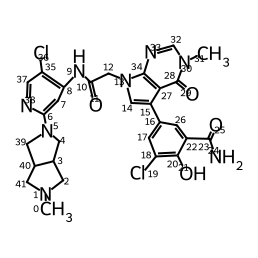 CN1CC2CN(c3cc(NC(=O)Cn4cc(-c5cc(Cl)c(O)c(C(N)=O)c5)c5c(=O)n(C)cnc54)c(Cl)cn3)CC2C1